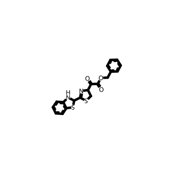 O=C(OCc1ccccc1)C(=O)C1CSC(C2Nc3ccccc3S2)=N1